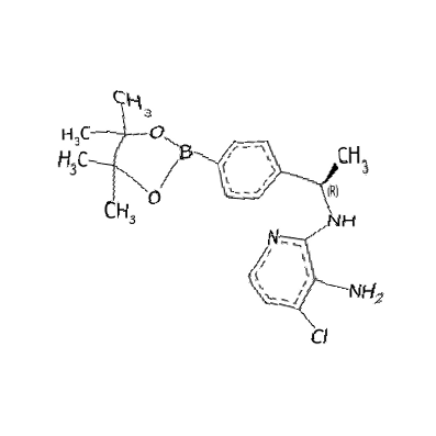 C[C@@H](Nc1nccc(Cl)c1N)c1ccc(B2OC(C)(C)C(C)(C)O2)cc1